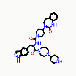 O=C(NC(Cc1ccc2[nH]ncc2c1)C(=O)N1CCCN(C2CCNCC2)CC1)N1CCC(N2CCc3ccccc3NC2=O)CC1